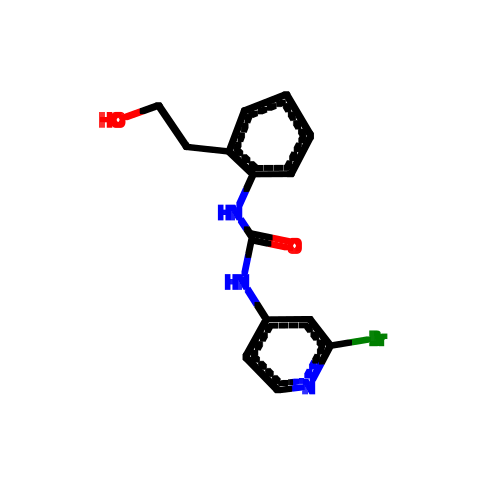 O=C(Nc1ccnc(Br)c1)Nc1ccccc1CCO